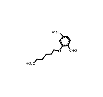 COc1ccc(C=O)c(OCCCCCC(=O)O)c1